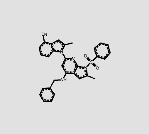 Cc1cc2c(C#N)cccc2n1-c1cc(NCc2ccccc2)c2cc(C)n(S(=O)(=O)c3ccccc3)c2n1